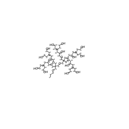 CCCOCC(COCCCN(CCO)CCO)(COCC(O)CN(CCO)CCO)COCC(COCC(O)CN(CCO)CCO)(COCC(O)CN(CCO)CCO)COCC(O)CN(CCO)CCO